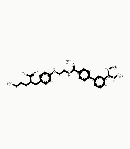 CCCCC(Cc1ccc(OCCNC(=O)c2ccc(-c3cccc(C(OC)OC)c3)cc2)cc1)C(=O)[O-].[Na+]